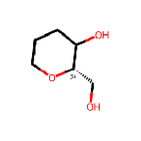 OC[C@@H]1OCCCC1O